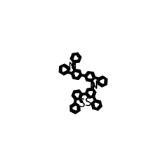 c1ccc(-n2c3ccccc3c3ccc(-c4ccc5c6ccccc6n(-c6cc(-c7cccc8c7sc7ccccc78)c7sc8ccccc8c7c6)c5c4)cc32)cc1